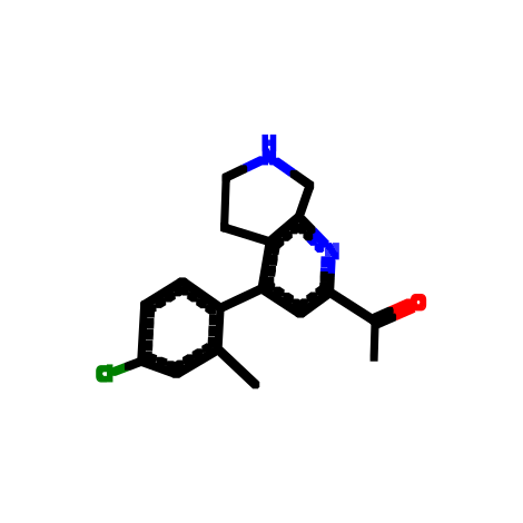 CC(=O)c1cc(-c2ccc(Cl)cc2C)c2c(n1)CNCC2